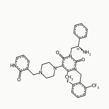 Cc1c(N2CCN(Cc3ccc[nH]c3=O)CC2)c(=O)n(C[C@H](N)c2ccccc2)c(=O)n1Cc1c(F)cccc1C(F)(F)F